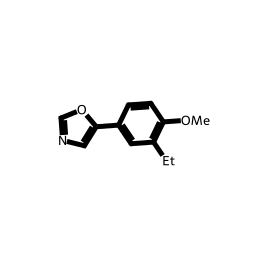 CCc1cc(-c2cnco2)ccc1OC